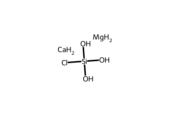 O[Si](O)(O)Cl.[CaH2].[MgH2]